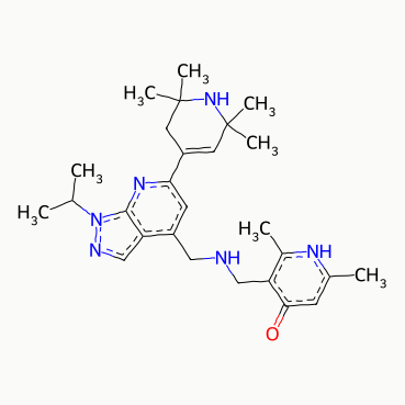 Cc1cc(=O)c(CNCc2cc(C3=CC(C)(C)NC(C)(C)C3)nc3c2cnn3C(C)C)c(C)[nH]1